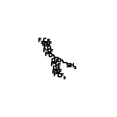 FC(OC(F)(F)C(F)(F)C(F)(F)F)C(F)(F)OCC(COCCC[SiH3])OC(F)(F)C(F)OC(F)(F)C(F)(F)C(F)(F)F